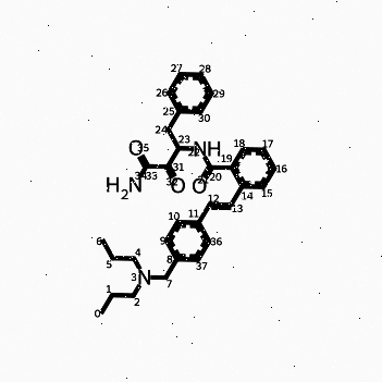 CCCN(CCC)Cc1ccc(/C=C/c2ccccc2C(=O)NC(Cc2ccccc2)C(=O)C(N)=O)cc1